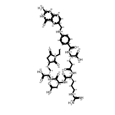 CCN1C(=O)CC(SC[C@H](NC(=O)[C@H](CC(=O)O)NC(=O)[C@H](CCCNC(=N)N)NC(=O)CC[C@H](NC(=O)c2ccc(NCc3cnc4nc(N)[nH]c(=O)c4n3)cc2)C(=O)O)C(=O)O)C1=O